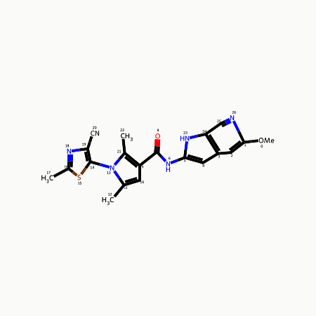 COc1cc2cc(NC(=O)c3cc(C)n(-c4sc(C)nc4C#N)c3C)[nH]c2cn1